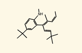 C\C=C/C(C)=C(\C=C\C(C)(C)C)c1cc(C(C)(C)C)ccc1NC